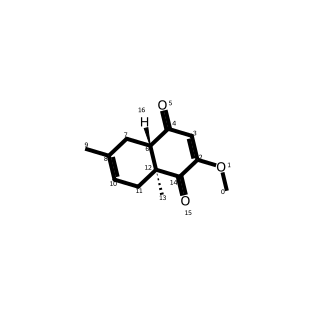 COC1=CC(=O)[C@H]2CC(C)=CC[C@]2(C)C1=O